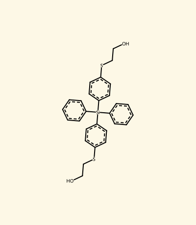 OCCSc1ccc([Si](c2ccccc2)(c2ccccc2)c2ccc(SCCO)cc2)cc1